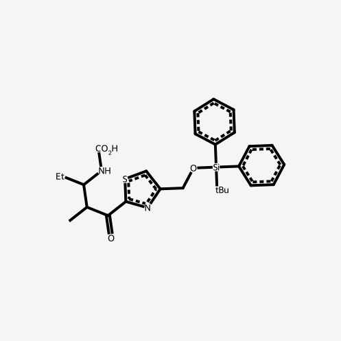 CCC(NC(=O)O)C(C)C(=O)c1nc(CO[Si](c2ccccc2)(c2ccccc2)C(C)(C)C)cs1